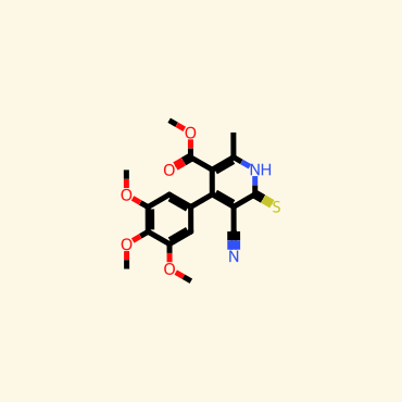 COC(=O)c1c(C)[nH]c(=S)c(C#N)c1-c1cc(OC)c(OC)c(OC)c1